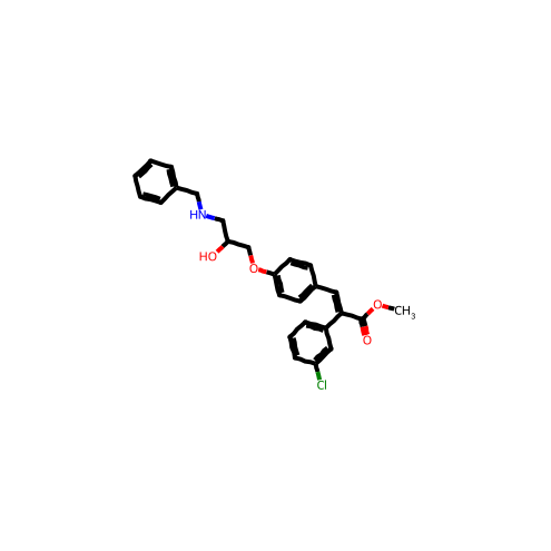 COC(=O)/C(=C/c1ccc(OCC(O)CNCc2ccccc2)cc1)c1cccc(Cl)c1